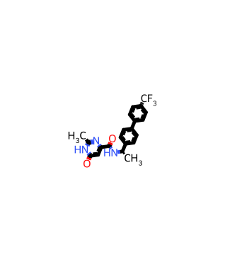 Cc1nc(C(=O)N[C@H](C)c2ccc(-c3ccc(C(F)(F)F)cc3)cc2)cc(=O)[nH]1